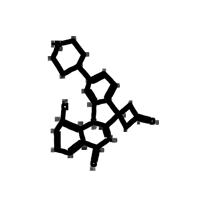 O=C1CC2(C1)c1ccc(C3CCNCC3)cc1-n1c2nc(=O)c2cccc(Cl)c21